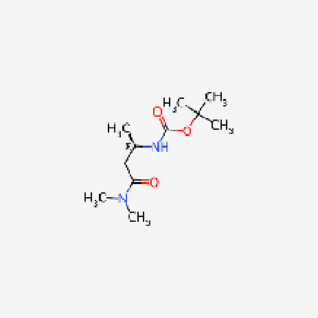 C[C@H](CC(=O)N(C)C)NC(=O)OC(C)(C)C